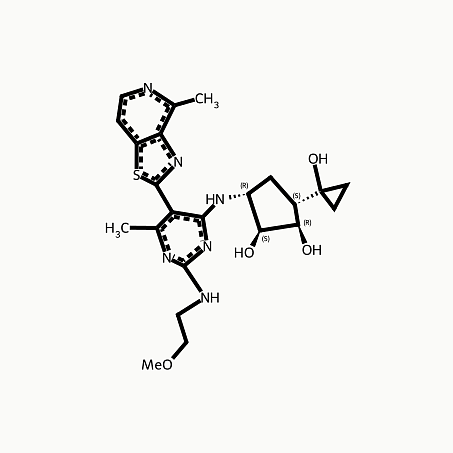 COCCNc1nc(C)c(-c2nc3c(C)nccc3s2)c(N[C@@H]2C[C@H](C3(O)CC3)[C@@H](O)[C@H]2O)n1